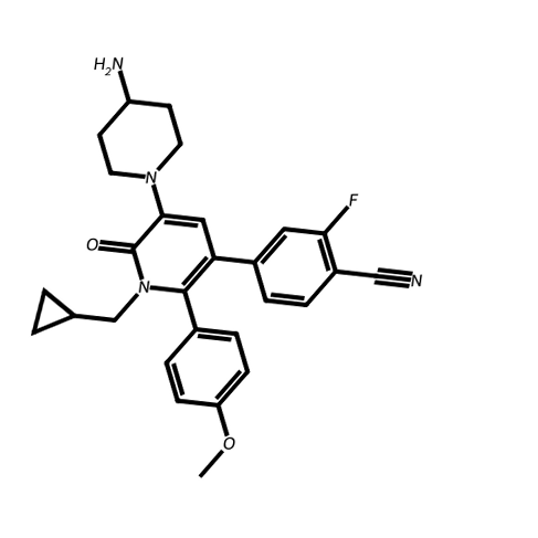 COc1ccc(-c2c(-c3ccc(C#N)c(F)c3)cc(N3CCC(N)CC3)c(=O)n2CC2CC2)cc1